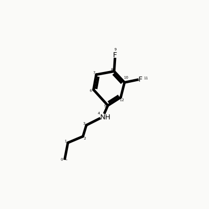 [CH2]CCCNc1ccc(F)c(F)c1